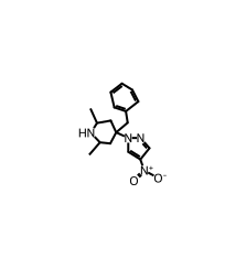 CC1CC(Cc2ccccc2)(n2cc([N+](=O)[O-])cn2)CC(C)N1